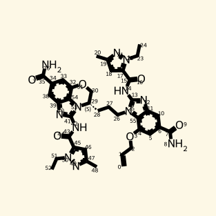 C=CCOc1cc(C(N)=O)cc2nc(NC(=O)c3cc(C)nn3CC)n(CCC[C@H]3COc4cc(C(N)=O)cc5nc(NC(=O)c6cc(C)nn6CC)n3c45)c12